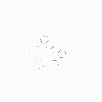 C1CCCCC1.CC(C)NCc1ccccc1NC(=O)Nc1ccccc1C(N)=O